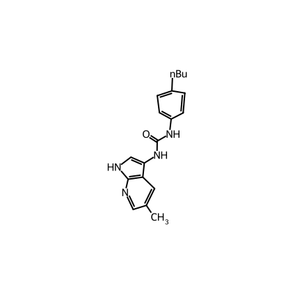 CCCCc1ccc(NC(=O)Nc2c[nH]c3ncc(C)cc23)cc1